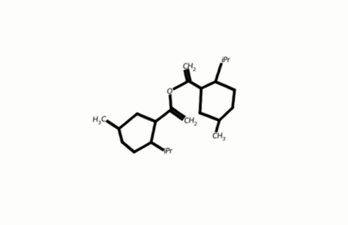 C=C(OC(=C)C1CC(C)CCC1C(C)C)C1CC(C)CCC1C(C)C